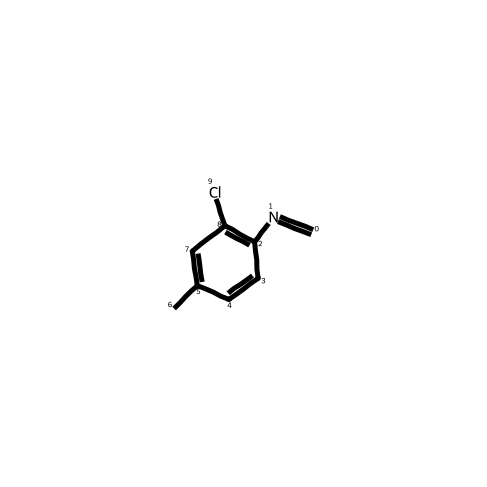 C=Nc1ccc(C)cc1Cl